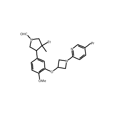 CCC1(C)CN(C=O)CC1c1ccc(OC)c(OC2CN(c3ccc(C(C)C)cn3)C2)c1